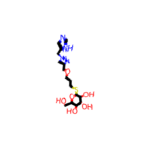 OCC1OC(SCCCOCc2cn(Cc3cnc[nH]3)nn2)C(O)C(O)C1O